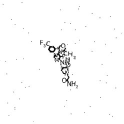 C[C@@H]1COC[C@@H](c2cccc(C(F)(F)F)c2)N1c1ncnc(NC[C@H]2CCN(CC(N)=O)C[C@@H]2O)c1F